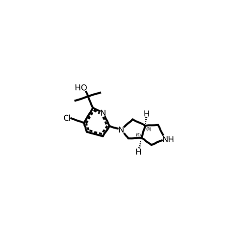 CC(C)(O)c1nc(N2C[C@H]3CNC[C@H]3C2)ccc1Cl